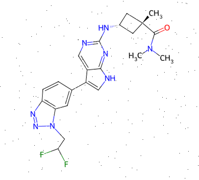 CN(C)C(=O)[C@]1(C)C[C@H](Nc2ncc3c(-c4ccc5nnn(CC(F)F)c5c4)c[nH]c3n2)C1